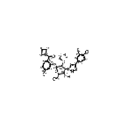 CCO[C@H]1C(n2cc(-c3ccc(Cl)c(F)c3)nn2)[C@@H](O)C(CO)O[C@@H]1Sc1cc(Cl)cnc1C(=O)N1CCC1